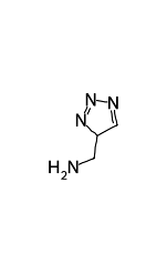 NCC1C=NN=N1